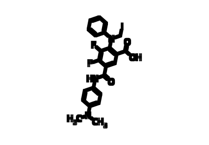 CN(C)c1ccc(NC(=O)c2cc(C(=O)O)c(N(CI)c3ccccc3)c(F)c2F)cc1